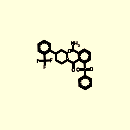 NC(=O)c1cccc(S(=O)(=O)c2ccccc2)c1C(=O)N1CCC(c2ccccc2C(F)(F)F)CC1